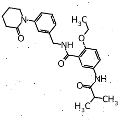 CCOc1ccc(NC(=O)C(C)C)cc1C(=O)NCc1cccc(N2CCCCC2=O)c1